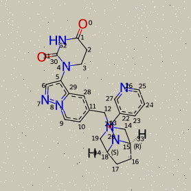 O=C1CCN(c2cnn3ccc(CN4C[C@H]5CC[C@@H](C4)N5Cc4cccnc4)cc23)C(=O)N1